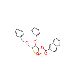 O=C(O[C@@H]1C(O)S[C@H](COCc2ccccc2)[C@H]1OCc1ccccc1)c1ccc2ccccc2c1